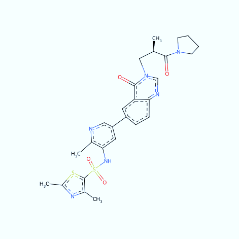 Cc1nc(C)c(S(=O)(=O)Nc2cc(-c3ccc4ncn(C[C@@H](C)C(=O)N5CCCC5)c(=O)c4c3)cnc2C)s1